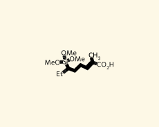 CCC(CCC=C(C)C(=O)O)[Si](OC)(OC)OC